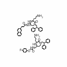 NCCC[C@@H]1N[C@H](CNC(=O)C=Cc2ccc3ccccc3c2)CCN(CC(c2ccccc2)c2ccccc2)C1=O.NCCC[C@@H]1N[C@H](CNC(=O)COc2ccc(F)cc2)CCN(CC(c2ccccc2)c2ccccc2)C1=O